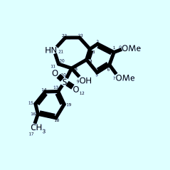 COc1cc2c(cc1OC)C(O)(S(=O)(=O)c1ccc(C)cc1)CNCC2